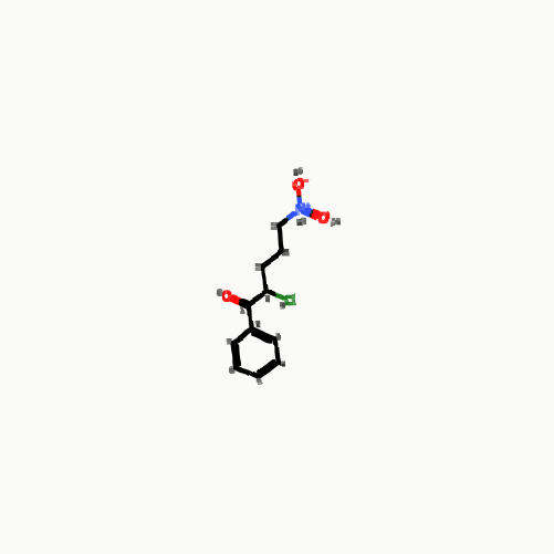 O=C(c1ccccc1)C(Cl)CCC[N+](=O)[O-]